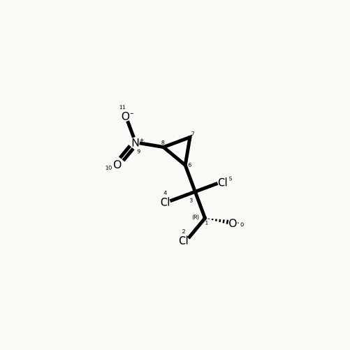 [O][C@H](Cl)C(Cl)(Cl)C1CC1[N+](=O)[O-]